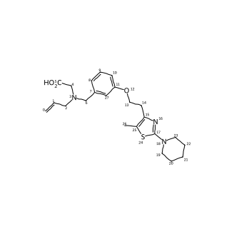 C=CCN(CC(=O)O)Cc1cccc(OCCc2nc(N3CCCCC3)sc2C)c1